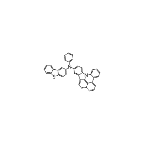 c1ccc(N(c2ccc3sc4ccccc4c3c2)c2ccc3c(c2)c2ccc4cccc5c6ccccc6n3c2c45)cc1